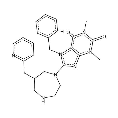 Cn1c(=O)c2c(nc(N3CCNCC(Cc4ccccn4)C3)n2Cc2ccccc2I)n(C)c1=O